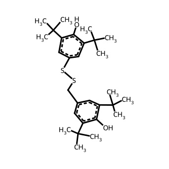 CC(C)(C)c1cc(CSSc2cc(C(C)(C)C)c(O)c(C(C)(C)C)c2)cc(C(C)(C)C)c1O